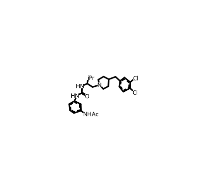 CC(=O)Nc1cccc(NC(=O)NC(CN2CCC(Cc3ccc(Cl)c(Cl)c3)CC2)C(C)C)c1